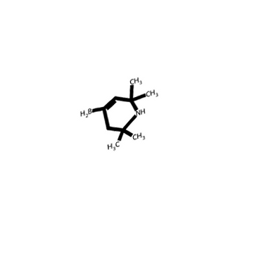 BC1=CC(C)(C)NC(C)(C)C1